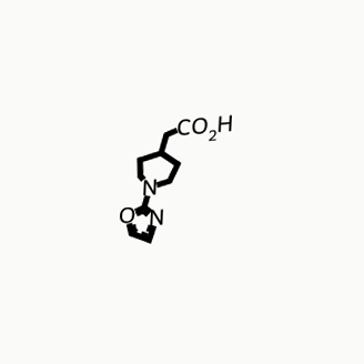 O=C(O)CC1CCN(c2ncco2)CC1